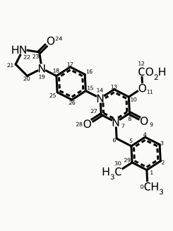 Cc1cccc(Cn2c(=O)c(OC(=O)O)cn(-c3ccc(N4CCNC4=O)cc3)c2=O)c1C